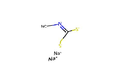 N#CN=C([S-])[S-].[Na+].[Na+]